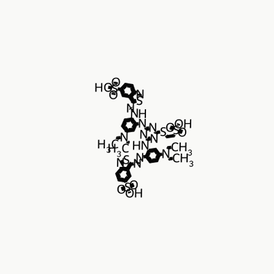 CCN(CC)c1ccc(/N=N/c2snc3ccc(S(=O)(=O)O)cc23)c(Nc2nc(Nc3cc(N(CC)CC)ccc3/N=N/c3snc4ccc(S(=O)(=O)O)cc34)nc(SCCS(=O)(=O)O)n2)c1